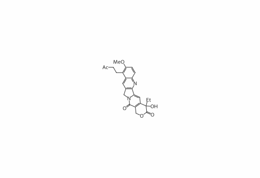 CCC1(O)C(=O)OCc2c1cc1n(c2=O)Cc2cc3c(CCC(C)=O)c(OC)ccc3nc2-1